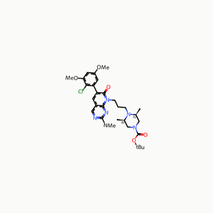 CNc1ncc2cc(-c3cc(OC)cc(OC)c3Cl)c(=O)n(CCCN3[C@H](C)CN(C(=O)OC(C)(C)C)C[C@@H]3C)c2n1